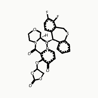 O=C1OCC(Oc2c3n(ccc2=O)N([C@@H]2c4ccccc4SCc4c2ccc(F)c4F)[C@@H]2COCCN2C3=O)O1